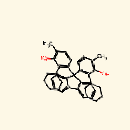 Cc1ccc(C2(c3ccc(C)c(O)c3C3CCCCC3)c3ccccc3-c3ccccc32)c(C2CCCCC2)c1O